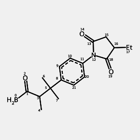 BC(=O)C(C)C(C)(C)c1ccc(N2C(=O)CC(CC)C2=O)cc1